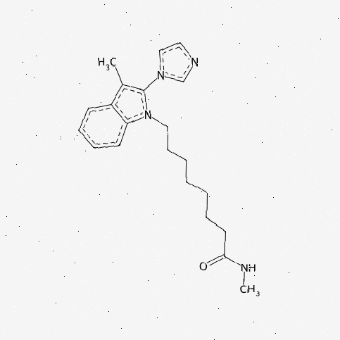 CNC(=O)CCCCCCCn1c(-n2ccnc2)c(C)c2ccccc21